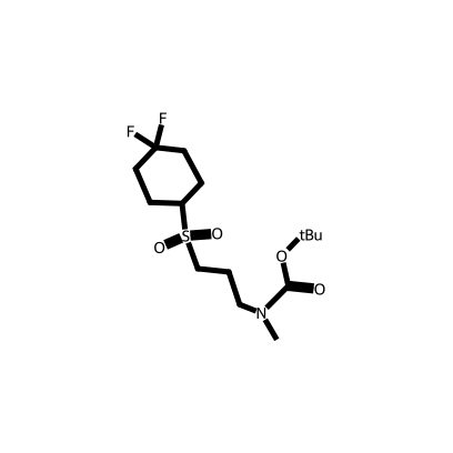 CN(CCCS(=O)(=O)C1CCC(F)(F)CC1)C(=O)OC(C)(C)C